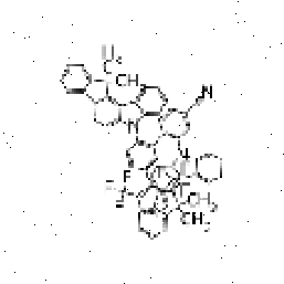 CC1(C)c2ccccc2-c2ccc3c(c21)c1ccccc1n3-c1ccc(-c2c(C(F)(F)F)cccc2C(F)(F)F)cc1-c1ccc(C#N)cc1-n1c2ccccc2c2c3c(ccc21)-c1ccccc1C3(C)C